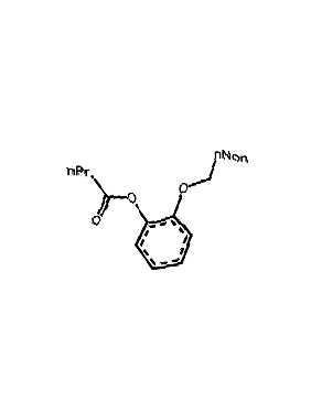 CCCCCCCCCCOc1ccccc1OC(=O)CCC